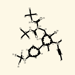 CC#CN(C)c1c(C)c(-c2ccc(OC(F)(F)F)cc2)cc(CN(C(=O)OC(C)(C)C)C(=O)OC(C)(C)C)c1Br